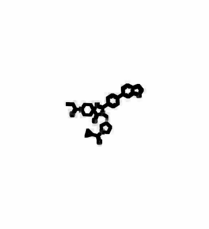 C=CC(=O)N1CCC2(CC1)N=C(c1ccc(-c3ccc4ccoc4c3)cc1)N(C[C@@H]1CCN(C(=O)C3CC3)C1)C2=O